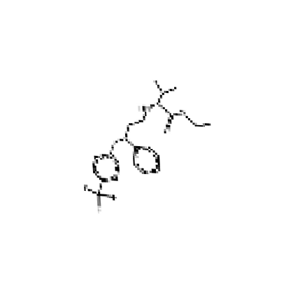 CCOC(=O)[C@@H](NCCC(Oc1ccc(C(F)(F)F)cc1)c1ccccc1)C(C)C